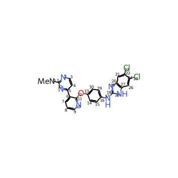 CNc1nccc(-c2cccnc2Oc2ccc(Nc3nc4cc(Cl)c(Cl)cc4[nH]3)cc2)n1